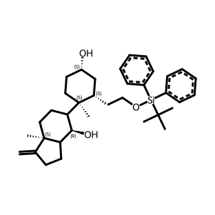 C=C1CCC2[C@H](O)C([C@@]3(C)CC[C@H](O)C[C@@H]3CCO[Si](c3ccccc3)(c3ccccc3)C(C)(C)C)CC[C@]12C